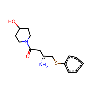 N[C@@H](CSc1ccccc1)CC(=O)N1CCC(O)CC1